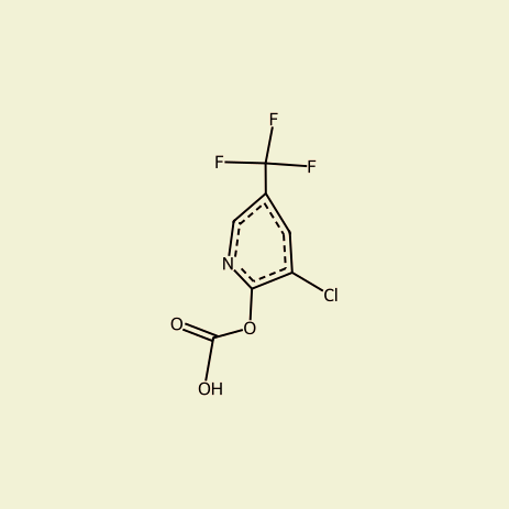 O=C(O)Oc1ncc(C(F)(F)F)cc1Cl